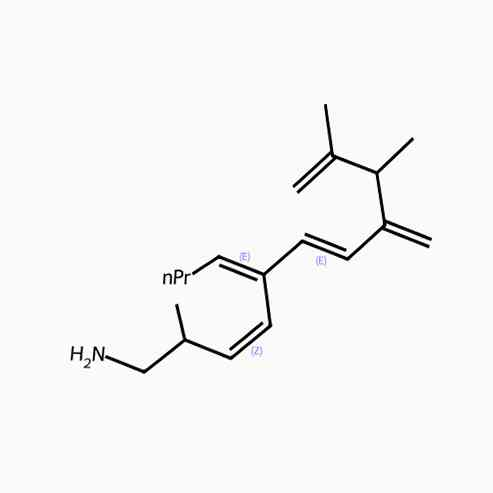 C=C(C)C(C)C(=C)/C=C/C(/C=C\C(C)CN)=C/CCC